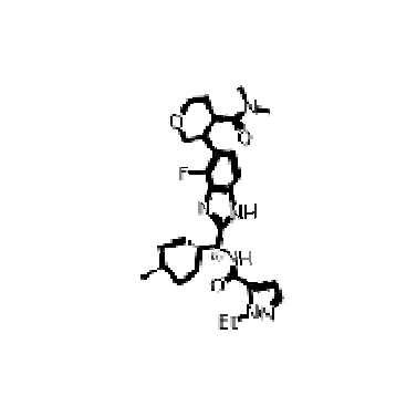 CCn1nccc1C(=O)N[C@H](c1nc2c(F)c(C3COCCC3C(=O)N(C)C)ccc2[nH]1)[C@H]1CC[C@H](C)CC1